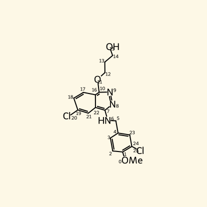 COc1ccc(CNc2nnc(OCCCO)c3ccc(Cl)cc23)cc1Cl